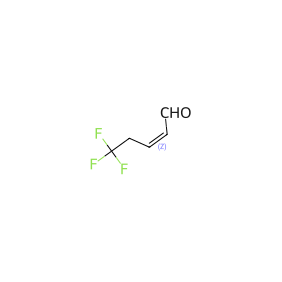 O=C/C=C\CC(F)(F)F